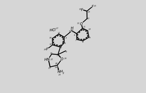 CC1(c2cc(Nc3ccccc3OCC(F)F)ccc2F)CNC[C@H](N)O1.Cl